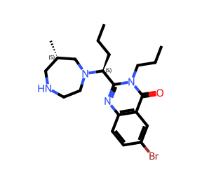 CCC[C@@H](c1nc2ccc(Br)cc2c(=O)n1CCC)N1CCNC[C@H](C)C1